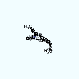 C=CC(=O)OCCCOc1ccc(OC(=O)C2CCC(C(=O)Oc3ccc(C4CCC(CCC)CC4)cc3/C=N/N(COCCOC)c3nc4ccccc4s3)CC2)cc1